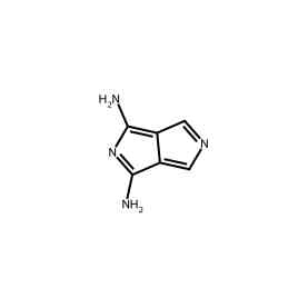 NC1=NC(N)=C2C=NC=C12